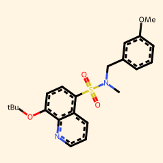 COc1cccc(CN(C)S(=O)(=O)c2ccc(OC(C)(C)C)c3ncccc23)c1